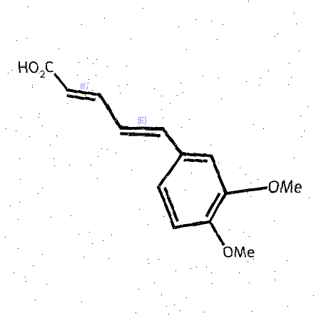 COc1ccc(/C=C/C=C/C(=O)O)cc1OC